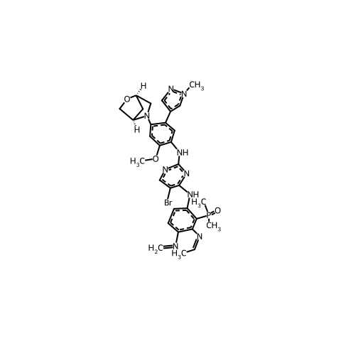 C=Nc1ccc(Nc2nc(Nc3cc(-c4cnn(C)c4)c(N4C[C@H]5C[C@@H]4CO5)cc3OC)ncc2Br)c(P(C)(C)=O)c1/N=C\C